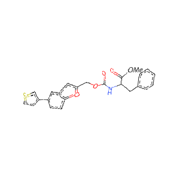 COC(=O)C(Cc1ccccc1)NC(=O)OCc1cc2cc(-c3ccsc3)ccc2o1